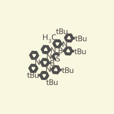 Cc1cc2c3c(c1)N1c4ccccc4N4c5cc(N(c6ccccc6)c6ccccc6)cc6c5B(c5cc(C(C)(C)C)ccc5N6c5cc(C(C)(C)C)cc(C(C)(C)C)c5)c5sc(c1c54)B3c1ccc(C(C)(C)C)cc1N2c1cc(C(C)(C)C)cc(C(C)(C)C)c1